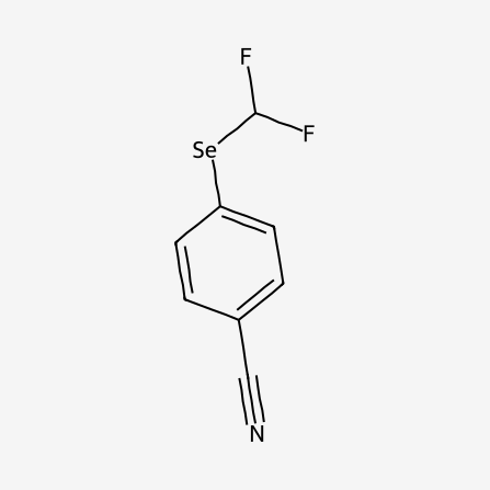 N#Cc1ccc([Se]C(F)F)cc1